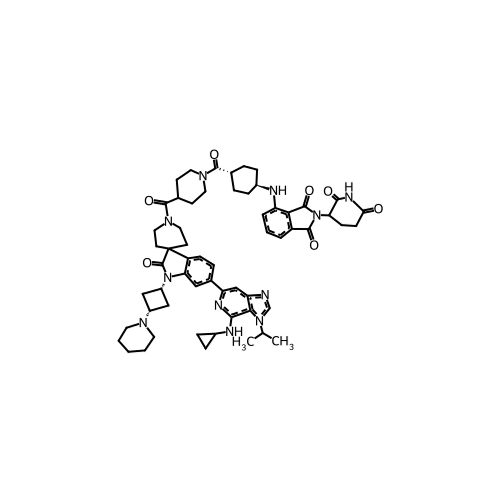 CC(C)n1cnc2cc(-c3ccc4c(c3)N([C@H]3C[C@@H](N5CCCCC5)C3)C(=O)C43CCN(C(=O)C4CCN(C(=O)[C@H]5CC[C@H](Nc6cccc7c6C(=O)N(C6CCC(=O)NC6=O)C7=O)CC5)CC4)CC3)nc(NC3CC3)c21